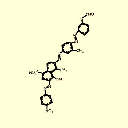 Cc1cc(/N=N/c2ccc3c(S(=O)(=O)O)cc(/N=N/c4ccc([N+](=O)[O-])cc4)c(O)c3c2N)ccc1/N=N/c1cccc(OC=O)c1